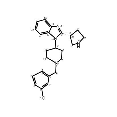 Clc1cccc(CN2CCC(n3c([C@@H]4CCNC4)nc4ccccc43)CC2)c1